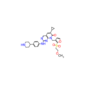 COCCS(=O)(=O)c1occc1Cn1c(=O)c(C2CC2)cc2cnc(Nc3ccc(C4CCNCC4)cc3)nc21